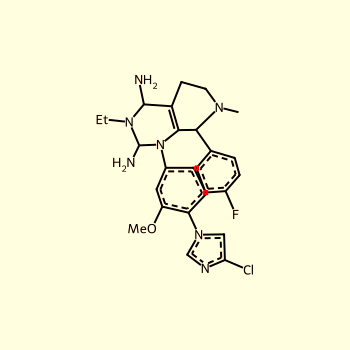 CCN1C(N)C2=C(C(c3ccc(F)cc3)N(C)CC2)N(c2ccc(-n3cnc(Cl)c3)c(OC)c2)C1N